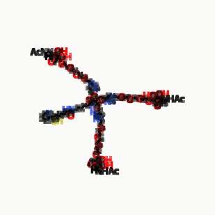 CC(=O)N[C@H]1[C@H]2OC[C@@](COCCOCCOCCOCCn3cc(COCC(COCc4cn(CCOCCOCCOCCOC[C@]56CO[C@@H](O5)[C@H](NC(C)=O)[C@@H](O)[C@H]6O)nn4)(COCc4cn(CCOCCOCCOCCOC[C@]56CO[C@@H](O5)[C@H](NC(C)=O)[C@@H](O)[C@H]6O)nn4)NC(=O)CCCCCNC(=O)CCCCC[S](S)c4ccccn4)nn3)(O2)[C@H](O)[C@@H]1O